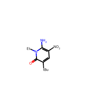 CCn1c(N)c([N+](=O)[O-])cc(C(C)(C)C)c1=O